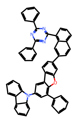 c1ccc(-c2nc(-c3ccccc3)nc(-c3cccc4ccc(-c5ccc6c(c5)oc5c(-c7ccccc7)cc(-n7c8ccccc8c8ccccc87)cc56)cc34)n2)cc1